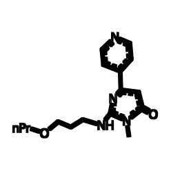 CCCOCCCNc1nc(-c2ccncc2)cc(=O)n1C